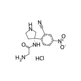 Cl.N#Cc1cc([N+](=O)[O-])ccc1[C@@]1(NC(=O)CN)CCNC1